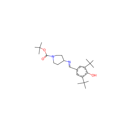 CC(C)(C)OC(=O)N1CCC(N=Cc2cc(C(C)(C)C)c(O)c(C(C)(C)C)c2)CC1